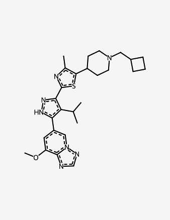 COc1cc(-c2[nH]nc(-c3nc(C)c(C4CCN(CC5CCC5)CC4)s3)c2C(C)C)cn2ncnc12